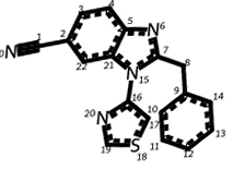 N#Cc1ccc2nc(Cc3ccccc3)n(-c3cscn3)c2c1